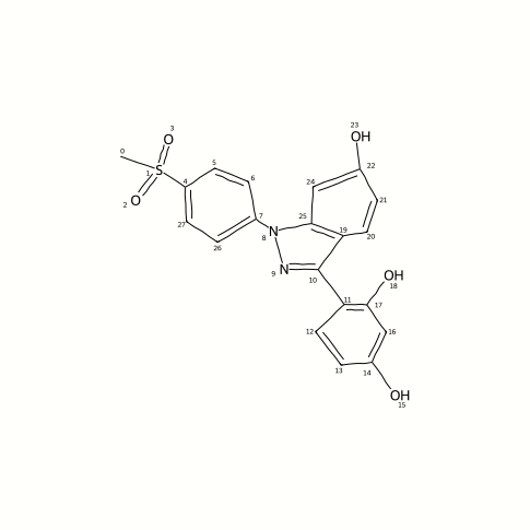 CS(=O)(=O)c1ccc(-n2nc(-c3ccc(O)cc3O)c3ccc(O)cc32)cc1